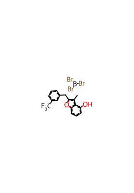 BrB(Br)Br.Cc1c(Cc2cccc(C(F)(F)F)c2)oc2cccc(O)c12